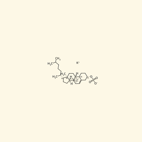 CC(C)CCCC(C)[C@H]1CC[C@H]2[C@@H]3CC=C4C[C@@H](OS(=O)(=O)[O-])CC[C@]4(C)[C@H]3CC[C@]12C.[K+]